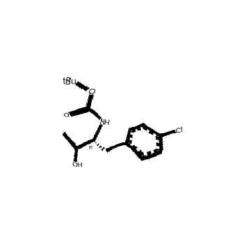 CC(O)[C@@H](Cc1ccc(Cl)cc1)NC(=O)OC(C)(C)C